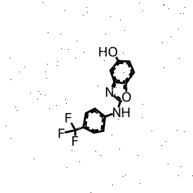 Oc1ccc2oc(Nc3ccc(C(F)(F)F)cc3)nc2c1